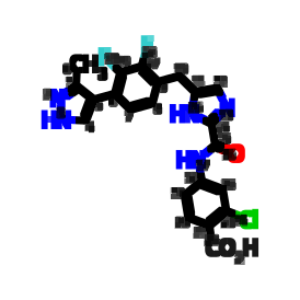 Cc1n[nH]cc1-c1ccc(Cc2cnc(C(=O)Nc3ccc(C(=O)O)c(Cl)c3)[nH]2)c(F)c1F